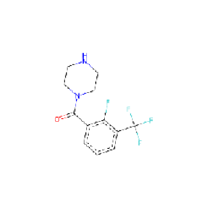 O=C(c1cccc(C(F)(F)F)c1F)N1CCNCC1